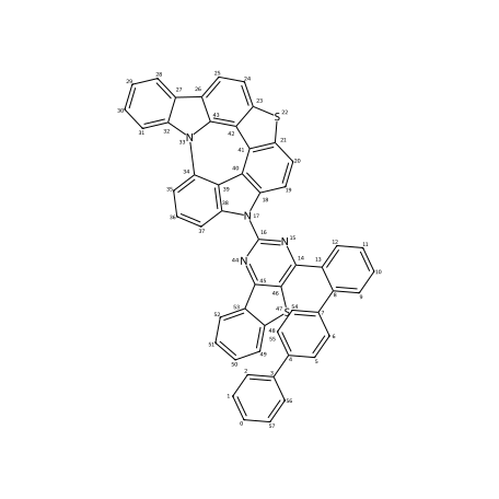 c1ccc(-c2ccc(-c3ccccc3-c3nc(-n4c5ccc6sc7ccc8c9ccccc9n9c%10cccc4c%10c5c6c7c89)nc4c3sc3ccccc34)cc2)cc1